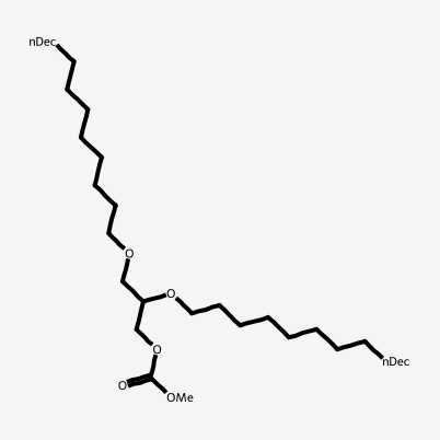 CCCCCCCCCCCCCCCCCCOCC(COC(=O)OC)OCCCCCCCCCCCCCCCCCC